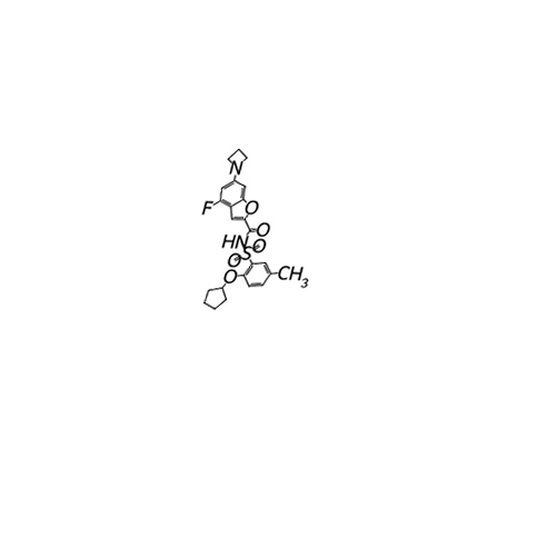 Cc1ccc(OC2CCCC2)c(S(=O)(=O)NC(=O)c2cc3c(F)cc(N4CCC4)cc3o2)c1